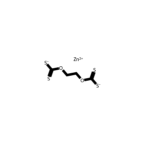 S=C([S-])OCCOC(=S)[S-].[Zn+2]